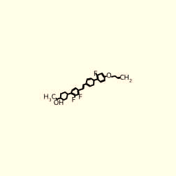 C=CCCOc1ccc(C2C=CC(/C=C/c3ccc(C4CCC(C(C)O)CC4)c(F)c3F)=CC2)c(F)c1